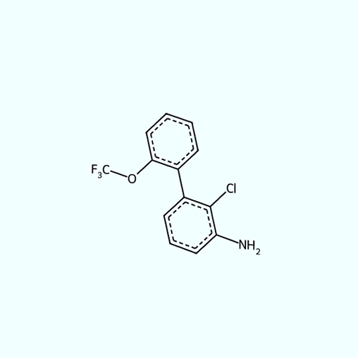 Nc1cccc(-c2ccccc2OC(F)(F)F)c1Cl